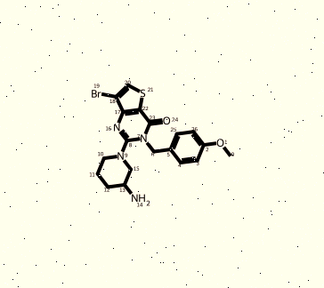 COc1ccc(Cn2c(N3CCCC(N)C3)nc3c(Br)csc3c2=O)cc1